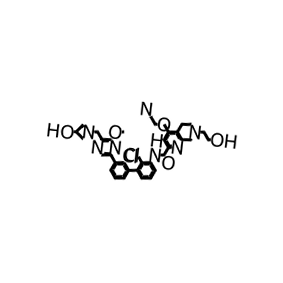 COc1nc(-c2cccc(-c3cccc(NC(=O)c4cc(OCC#N)c5c(n4)CN(CCO)CC5)c3Cl)c2Cl)cnc1CN1CC(O)C1